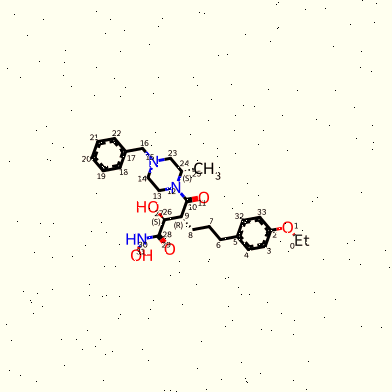 CCOc1ccc(CCC[C@@H](C(=O)N2CCN(Cc3ccccc3)C[C@@H]2C)[C@H](O)C(=O)NO)cc1